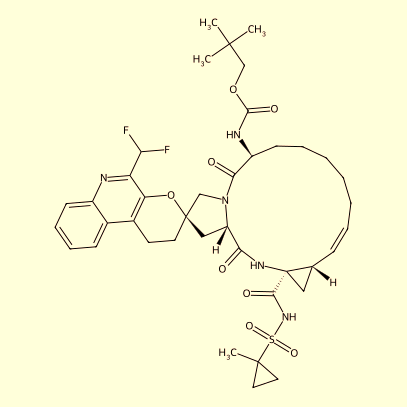 CC(C)(C)COC(=O)N[C@H]1CCCCC/C=C\[C@@H]2C[C@@]2(C(=O)NS(=O)(=O)C2(C)CC2)NC(=O)[C@@H]2C[C@]3(CCc4c(c(C(F)F)nc5ccccc45)O3)CN2C1=O